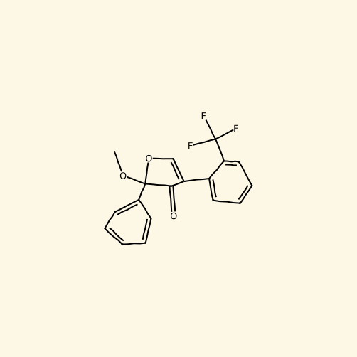 COC1(c2ccccc2)OC=C(c2ccccc2C(F)(F)F)C1=O